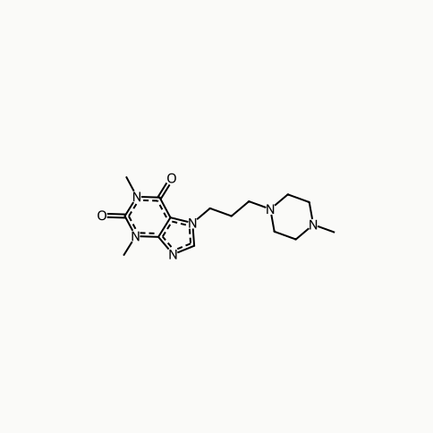 CN1CCN(CCCn2cnc3c2c(=O)n(C)c(=O)n3C)CC1